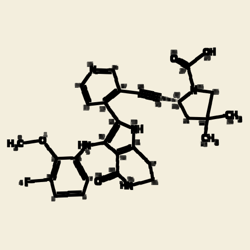 COc1c(F)cccc1Nc1c(-c2ccncc2C#C[C@H]2CC(C)(C)CN2C(=O)O)[nH]c2c1C(=O)NCC2